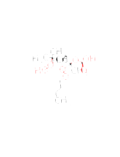 CC(C)(C)OO.CCCCOOC(C)(C)OC(=O)O